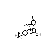 CCOc1cc(F)ccc1[C@@H]1C[C@@H](O)C(=O)N1Cc1ccc(OC(F)(F)F)cc1